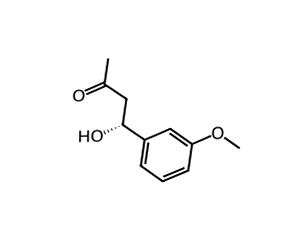 COc1cccc([C@H](O)CC(C)=O)c1